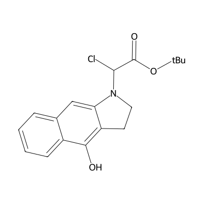 CC(C)(C)OC(=O)C(Cl)N1CCc2c1cc1ccccc1c2O